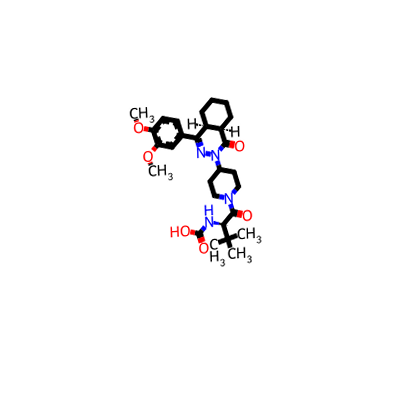 COc1ccc(C2=NN(C3CCN(C(=O)[C@H](NC(=O)O)C(C)(C)C)CC3)C(=O)[C@@H]3CCCC[C@H]23)cc1OC